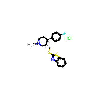 CN1CC[C@@H](c2ccc(F)cc2)[C@H](CSc2nc3ccccc3s2)C1.Cl